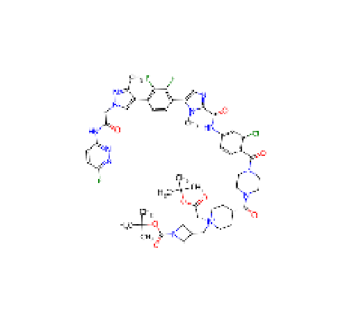 Cc1nn(CC(=O)Nc2ccc(F)nn2)cc1-c1ccc(-c2cnc(C(=O)Nc3ccc(C(=O)N4CCN(C(=O)[C@H]5CC[N@+](CC(=O)OC(C)(C)C)(CC6CN(C(=O)OC(C)(C)C)C6)CC5)CC4)c(Cl)c3)n2C)c(F)c1F